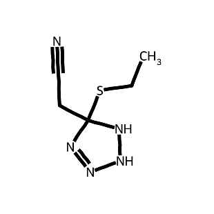 CCSC1(CC#N)N=NNN1